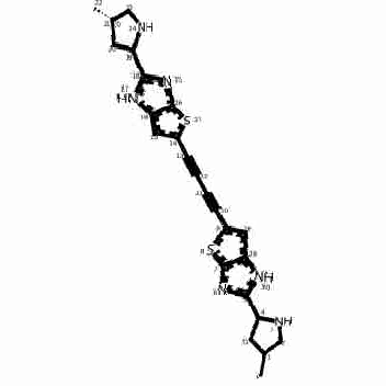 CC1CNC(c2nc3sc(C#CC#Cc4cc5[nH]c(C6C[C@H](C)CN6)nc5s4)cc3[nH]2)C1